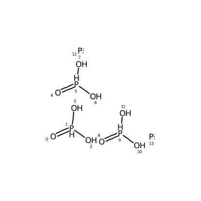 O=[PH](O)O.O=[PH](O)O.O=[PH](O)O.[P].[P]